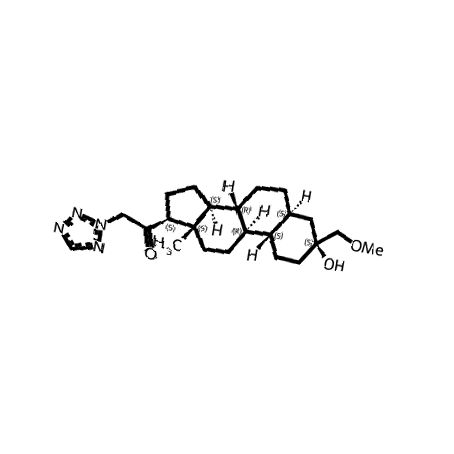 COC[C@]1(O)CC[C@H]2[C@@H](CC[C@@H]3[C@@H]2CC[C@]2(C)[C@@H](C(=O)Cn4ncnn4)CC[C@@H]32)C1